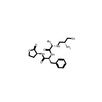 CC[C@H](C)[C@H](NC[C@@H](N)CS)C(=O)N[C@@H](Cc1ccccc1)C(=O)N[C@H]1CCOC1=O